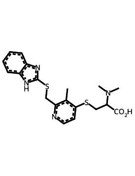 Cc1c(SCC(C(=O)O)N(C)C)ccnc1CSc1nc2ccccc2[nH]1